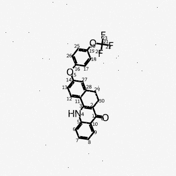 O=c1c2c([nH]c3ccccc13)-c1ccc(Oc3ccc(OC(F)(F)F)cc3)cc1CC2